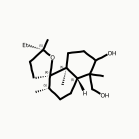 CC[C@@]1(C)CC[C@@]2(O1)[C@@H](C)CC[C@H]1C(C)(CO)C(O)CC[C@@]12C